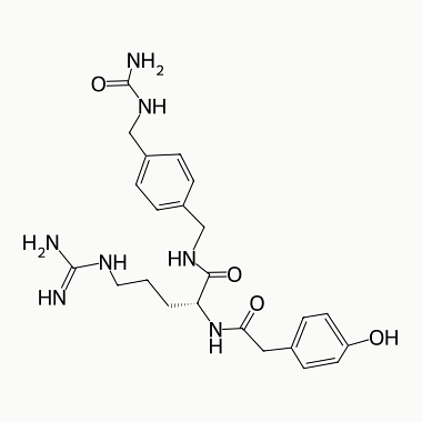 N=C(N)NCCC[C@@H](NC(=O)Cc1ccc(O)cc1)C(=O)NCc1ccc(CNC(N)=O)cc1